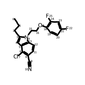 CCCc1cc2c(Cl)c(C#N)ccc2n1CCOc1ccc(F)cc1F